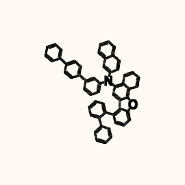 c1ccc(-c2ccc(-c3cccc(N(c4ccc5ccccc5c4)c4cc5c(oc6cccc(-c7ccccc7-c7ccccc7)c65)c5ccccc45)c3)cc2)cc1